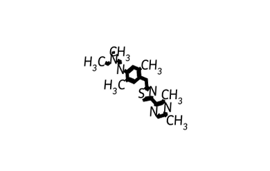 CCN(C)C=Nc1cc(C)c(Cc2nc(-c3ncc(C)nc3C)cs2)cc1C